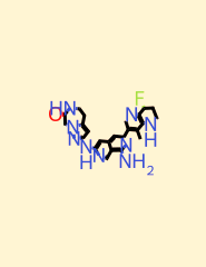 Cc1c(-c2cc3cc(Nc4cc5n(n4)CC(=O)NCC5)ncc3c(N)n2)cnc2c1NCCC2F